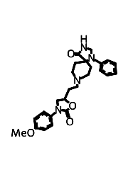 COc1ccc(N2CC(CCN3CCC4(CC3)C(=O)NCN4c3ccccc3)OC2=O)cc1